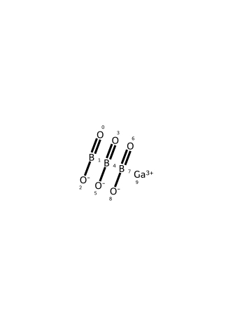 O=B[O-].O=B[O-].O=B[O-].[Ga+3]